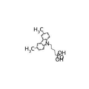 Cc1ccc2c(c1)c1cc(C)ccc1n2CCCCP(=O)(O)O